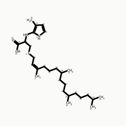 CC(=CCSCC(Nc1[nH]ccc1C)C(=O)O)CCCC(C)CCCC(C)CCCC(C)C